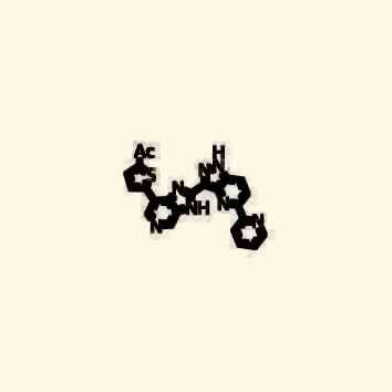 CC(=O)c1ccc(-c2cncc3[nH]c(-c4n[nH]c5ccc(-c6ccccn6)nc45)nc23)s1